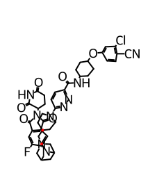 N#Cc1ccc(OC2CCC(NC(=O)c3ccc(N4CCC(CN5CC6CC(C5)N6c5cc6c(cc5F)C(=O)N(C5CCC(=O)NC5=O)C6=O)CC4)nn3)CC2)cc1Cl